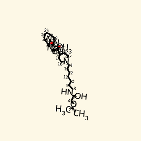 CC(C)OCC(O)NCCCCCCCN1CCC(c2cnc(N3C4CCC3CN(C(C)C)C4)nc2)CC1